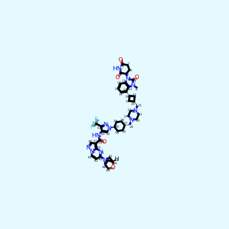 Cn1c(=O)n(C2CCC(=O)NC2=O)c2cccc([C@H]3C[C@@H](CN4CCN(C[C@H]5CC[C@H](n6cc(NC(=O)c7cnn8ccc(N9C[C@H]%10CC9CO%10)nc78)c(C(F)F)n6)CC5)CC4)C3)c21